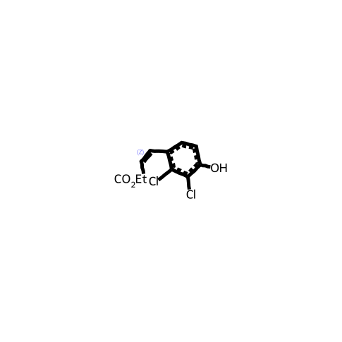 CCOC(=O)/C=C\c1ccc(O)c(Cl)c1Cl